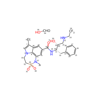 CCc1cn2c3c(cc(C(=O)N[C@@H](Cc4ccccc4)[C@H](O)CNCC(F)(F)F)cc13)N(C)S(=O)(=O)CC2.O=CO